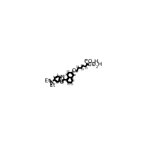 CCN(CC)c1ccc2nc(-c3cccc4cc(OCCCCCC(C(=O)O)C(=O)O)ccc34)oc2c1